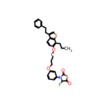 CCCc1c(OCCCCOc2cccc(N3C(=O)SC(=O)C3F)c2)ccc2c(CCc3ccccc3)csc12